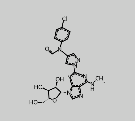 CNc1nc(-n2cc(N(C=O)c3ccc(Cl)cc3)cn2)nc2c1ncn2[C@@H]1O[C@H](CO)[C@@H](O)[C@H]1O